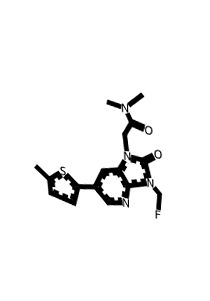 Cc1ccc(-c2cnc3c(c2)n(CC(=O)N(C)C)c(=O)n3CF)s1